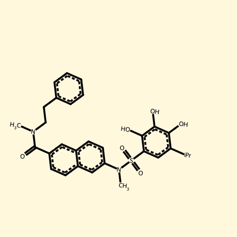 CC(C)c1cc(S(=O)(=O)N(C)c2ccc3cc(C(=O)N(C)CCc4ccccc4)ccc3c2)c(O)c(O)c1O